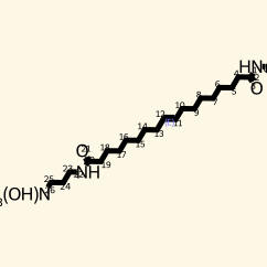 CCCCNC(=O)CCCCCCC/C=C/CCCCCCCC(=O)NCCCN(C)O